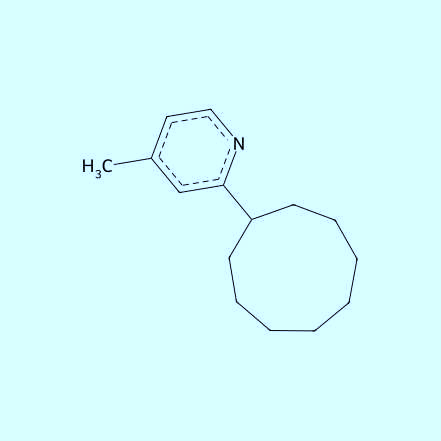 Cc1ccnc(C2CCCCCCCC2)c1